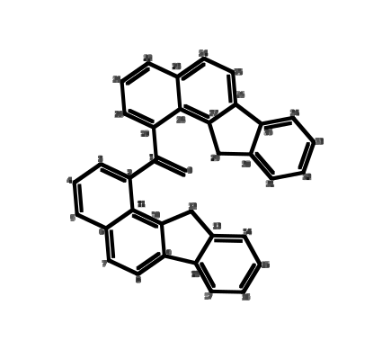 C=C(c1cccc2ccc3c(c12)Cc1ccccc1-3)c1cccc2ccc3c(c12)Cc1ccccc1-3